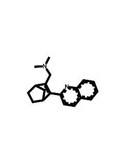 CN(C)CC1=C(c2ccc3ccccc3n2)C2CCC1C2